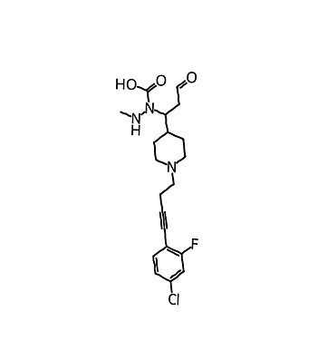 CNN(C(=O)O)C(CC=O)C1CCN(CCC#Cc2ccc(Cl)cc2F)CC1